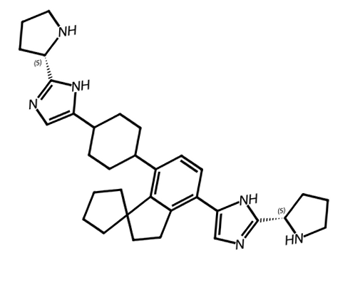 c1nc([C@@H]2CCCN2)[nH]c1-c1ccc(C2CCC(c3cnc([C@@H]4CCCN4)[nH]3)CC2)c2c1CCC21CCCC1